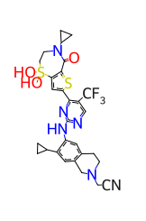 N#CCN1CCc2cc(Nc3ncc(C(F)(F)F)c(-c4cc5c(s4)C(=O)N(C4CC4)CCS5(O)O)n3)c(C3CC3)cc2C1